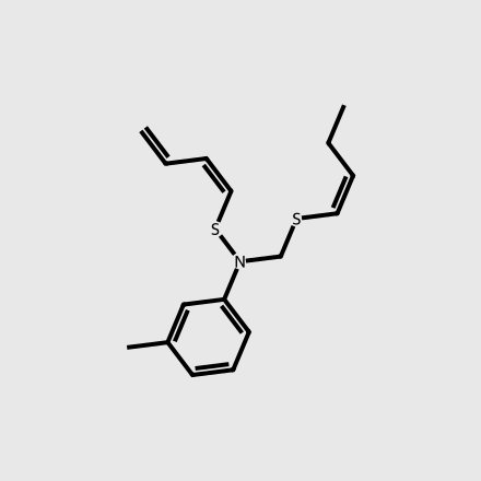 C=C/C=C\SN(CS/C=C\CC)c1cccc(C)c1